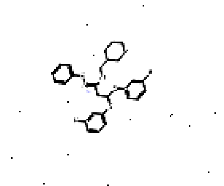 Fc1cccc(SC(C/C(=N/Sc2ccccc2)OCC2CCCCC2)Sc2cccc(F)c2)c1